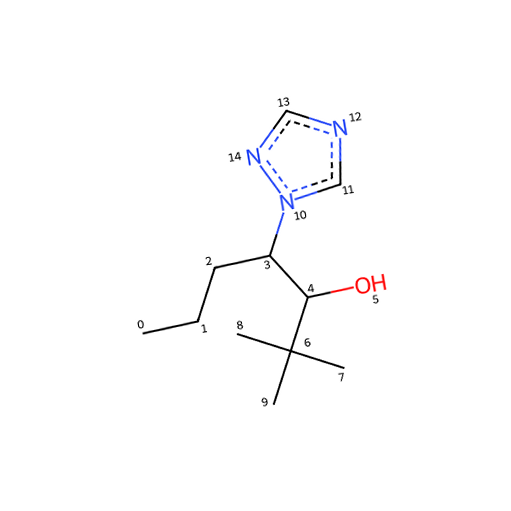 CCCC(C(O)C(C)(C)C)n1cncn1